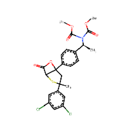 CC(C)OC(=O)N(C(=O)OC(C)(C)C)[C@@H](C)c1ccc(C23CC(c4cc(Cl)cc(Cl)c4)(C(F)(F)F)SC2C(=O)O3)cc1